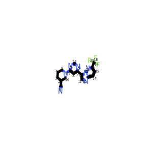 N#CC1CCCN(c2cc(-c3cnc4ccc(C(F)(F)F)nn34)ncn2)C1